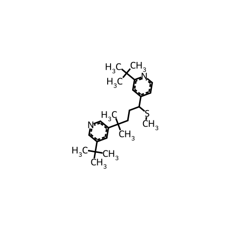 CSC(CCC(C)(C)c1cncc(C(C)(C)C)c1)c1ccnc(C(C)(C)C)c1